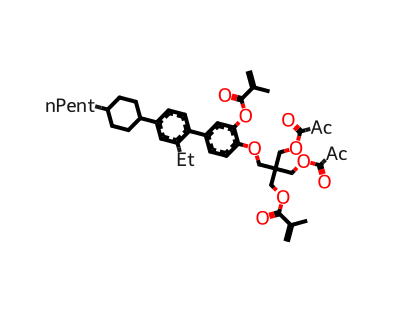 C=C(C)C(=O)OCC(COC(=O)C(C)=O)(COC(=O)C(C)=O)COc1ccc(-c2ccc(C3CCC(CCCCC)CC3)cc2CC)cc1OC(=O)C(=C)C